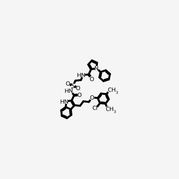 Cc1cc(C)c(Cl)c(OCCCc2c(C(=O)NS(=O)(=O)CCNC(=O)c3cccn3-c3ccccc3)[nH]c3ccccc23)c1